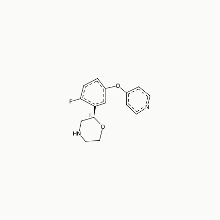 Fc1ccc(Oc2ccncc2)cc1[C@@H]1CNCCO1